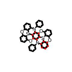 c1ccc(N2c3cccc4c3[Si]3(c5ccccc5)c5c(cccc5Oc5c6c7c(c2c53)Oc2cccc3c2[Si]7(c2ccccc2)c2c(cccc2N6c2ccccc2)O3)O4)cc1